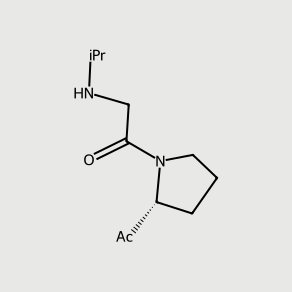 CC(=O)[C@H]1CCCN1C(=O)CNC(C)C